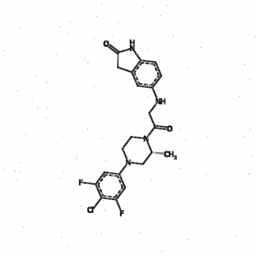 C[C@@H]1CN(c2cc(F)c(Cl)c(F)c2)CCN1C(=O)CNc1ccc2c(c1)CC(=O)N2